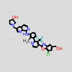 Cc1c(Nc2nccc3cc(CN4CC[C@@H](O)C4)cnc23)cccc1-c1nccc(-c2nc3cc(CO)cc(Cl)c3o2)c1C(F)(F)F